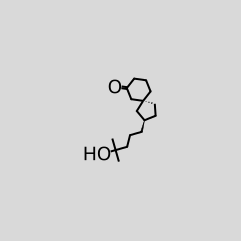 CC(C)(O)CCC[C@@H]1CC[C@]2(CCCC(=O)C2)C1